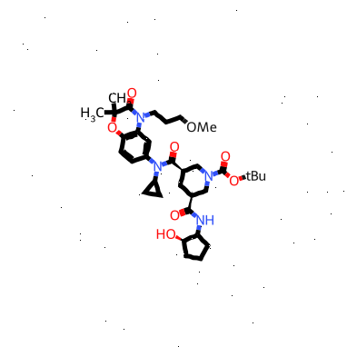 COCCCN1C(=O)C(C)(C)Oc2ccc(N(C(=O)[C@@H]3C[C@H](C(=O)NC4CCC[C@H]4O)CN(C(=O)OC(C)(C)C)C3)C3CC3)cc21